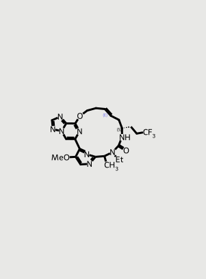 CCN1C(=O)N[C@@H](CCC(F)(F)F)C/C=C/CCOc2nc(cn3ncnc23)-c2nc(ncc2OC)C1C